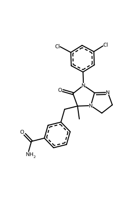 CC1(Cc2cccc(C(N)=O)c2)C(=O)N(c2cc(Cl)cc(Cl)c2)C2=NCCN21